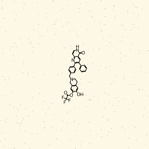 O=C(Oc1cc2c(cc1O)CCN(Cc1ccc(-c3nc4cc[nH]c(=O)c4cc3-c3ccccc3)cc1)C2)C(F)(F)F